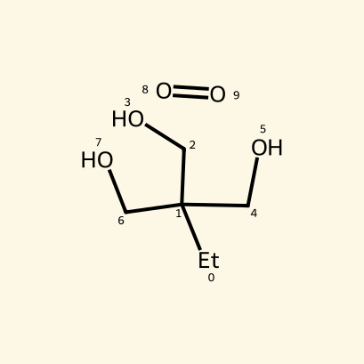 CCC(CO)(CO)CO.O=O